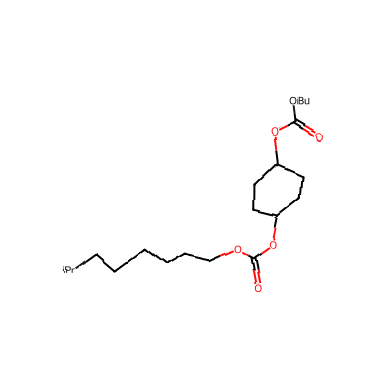 CC(C)CCCCCCOC(=O)OC1CCC(OC(=O)OCC(C)C)CC1